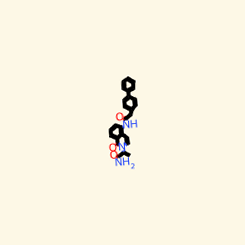 CC(C(N)=O)n1ccc2c(NC(=O)Cc3ccc(-c4ccccc4)cc3)cccc2c1=O